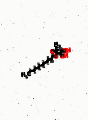 CCCCCCCCCCCCOC(C(C)=O)C(O)CO